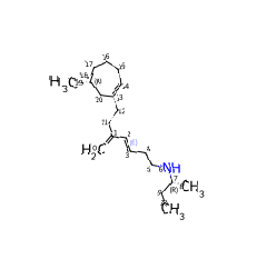 C=C(/C=C/CCN[C@H](C)CC)CCC1=CCCC[C@@H](C)C1